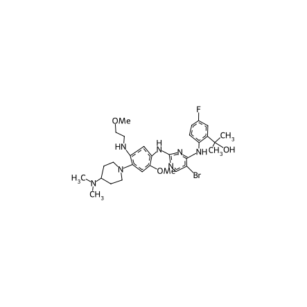 COCCNc1cc(Nc2ncc(Br)c(Nc3ccc(F)cc3C(C)(C)O)n2)c(OC)cc1N1CCC(N(C)C)CC1